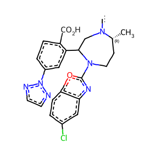 [C]N1CC(c2cc(-n3nccn3)ccc2C(=O)O)N(c2nc3cc(Cl)ccc3o2)CC[C@H]1C